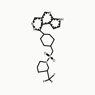 O=S(=O)(CC1CCC(c2nncc3cnc4[nH]ccc4c23)CC1)N1CCCC(C(F)(F)F)C1